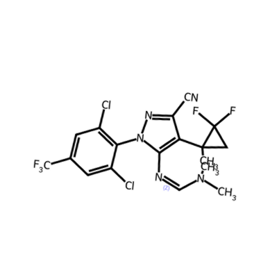 CN(C)/C=N\c1c(C2(C)CC2(F)F)c(C#N)nn1-c1c(Cl)cc(C(F)(F)F)cc1Cl